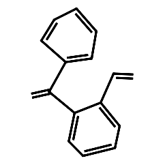 C=Cc1ccccc1C(=C)c1ccccc1